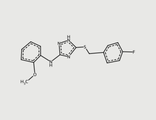 COc1ccccc1Nc1n[nH]c(SCc2ccc(F)cc2)n1